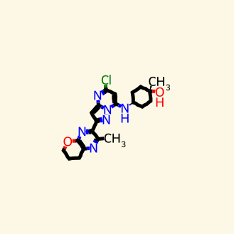 Cc1nc2c(nc1-c1cc3nc(Cl)cc(N[C@H]4CC[C@](C)(O)CC4)n3n1)OCCC2